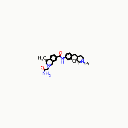 CC(C)N1CCC(Cc2ccc(NC(=O)c3ccc4c(c3)CN(CC(N)=O)C[C@@H]4C)cc2C(F)(F)F)CC1